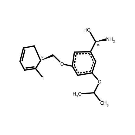 CC(C)Oc1cc(OC[C@@H]2CC=CC=C2I)cc([C@H](N)O)c1